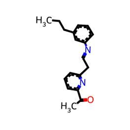 CCCc1cccc(N=CCc2cccc(C(C)=O)n2)c1